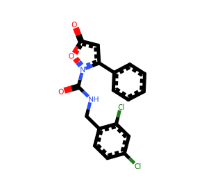 O=C(NCc1ccc(Cl)cc1Cl)n1oc(=O)cc1-c1ccccc1